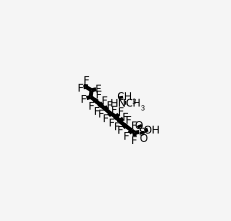 CNC.O=S(=O)(O)C(F)C(F)(F)C(F)(F)C(F)(F)C(F)(F)C(F)(F)C(F)(F)C(F)(F)C(F)(F)C(F)C(F)C(F)F